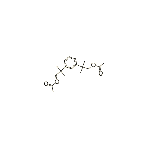 CC(=O)OCC(C)(C)c1cccc(C(C)(C)COC(C)=O)c1